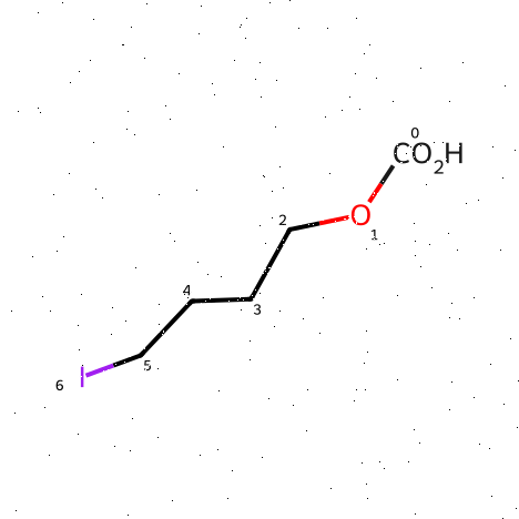 O=C(O)OCCCCI